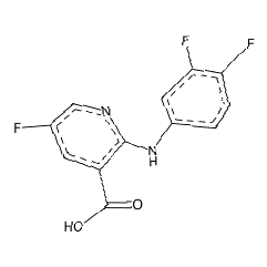 O=C(O)c1cc(F)cnc1Nc1ccc(F)c(F)c1